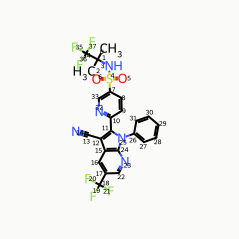 CC(C)(NS(=O)(=O)c1ccc(-c2c(C#N)c3cc(C(F)(F)F)cnc3n2-c2ccccc2)nc1)C(F)(F)F